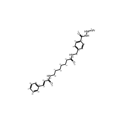 CCCNNC(=O)c1ccc(CNC(=O)CCCCCCNC(=O)/C=C/c2cccnc2)cc1